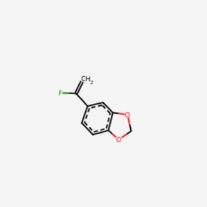 C=C(F)c1ccc2c(c1)OCO2